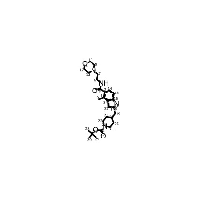 Cc1c(C(=O)NCCN2CCOCC2)ccc2nn(CC3CCN(C(=O)OC(C)(C)C)CC3)cc12